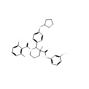 Cc1cccc(P)c1C(=O)N1CCCC(C)(C(=O)Nc2cccc(C(C)(C)C)c2)C1c1ccc(NC2CCCC2)cc1